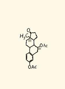 CC(=O)Oc1ccc2c(c1)C[C@H](OC(C)=O)C1C2CC[C@]2(C)C(=O)CCC12